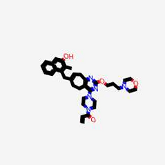 C=CC(=O)N1CCN(c2nc(OCCCN3CCOCC3)nc3c2CCC(Cc2c(C)c(O)cc4ccccc24)=CC3)CC1